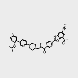 [C-]#[N+]c1cc(C(C)=O)c2oc(-c3ccc(C(=O)NCC4CCN(c5ccc(-c6cc(C)ccc6OC(C)C)cn5)CC4)cc3)nc2c1